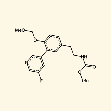 COCOc1ccc(CCNC(=O)OC(C)(C)C)cc1-c1cncc(F)c1